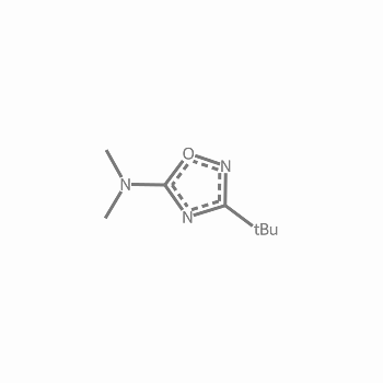 CN(C)c1nc(C(C)(C)C)no1